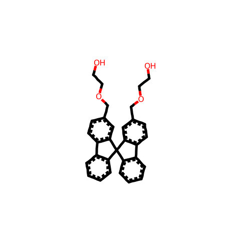 OCCOCc1ccc2c(c1)C1(c3ccccc3-2)c2ccccc2-c2ccc(COCCO)cc21